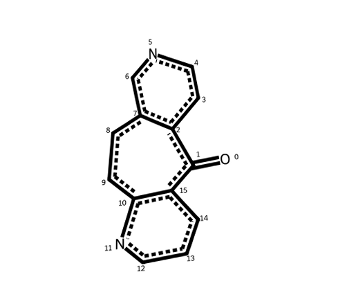 O=c1c2ccncc2ccc2ncccc12